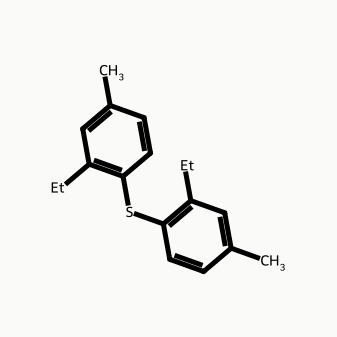 CCc1cc(C)ccc1Sc1ccc(C)cc1CC